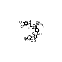 Cc1ccc(NC(=O)NCc2cc(NC3=CC(=O)N(C4CCC(=O)NC4=O)C3=O)ccc2C(=O)N(C)C)cc1Cl